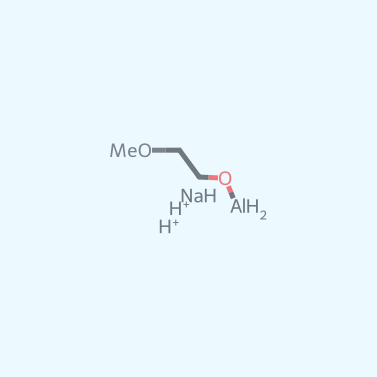 COCC[O][AlH2].[H+].[H+].[NaH]